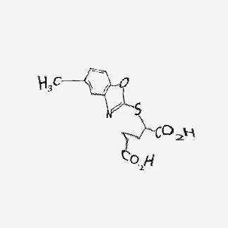 Cc1ccc2oc(SC(CC(=O)O)C(=O)O)nc2c1